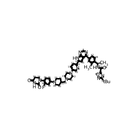 Cc1cc(-c2ncnc3[nH]c(-c4ccc(N5CCN(CC6CCN(c7ccc(N8CCC(=O)NC8=O)c(F)c7)CC6)CC5)cn4)cc23)ccc1[C@@H](C)NC(=O)c1nc(C(C)(C)C)no1